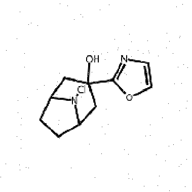 OC1(c2ncco2)CC2CCC(C1)N2Cl